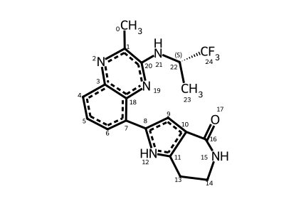 Cc1nc2cccc(-c3cc4c([nH]3)CCNC4=O)c2nc1N[C@@H](C)C(F)(F)F